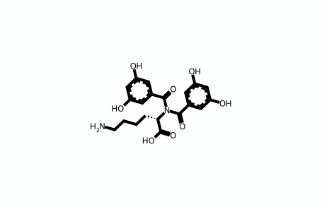 NCCCC[C@@H](C(=O)O)N(C(=O)c1cc(O)cc(O)c1)C(=O)c1cc(O)cc(O)c1